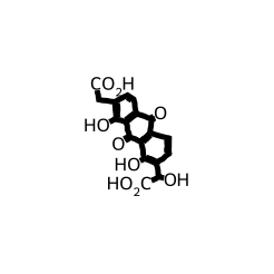 O=C(O)Cc1ccc2c(c1O)C(=O)c1c(ccc(C(O)C(=O)O)c1O)C2=O